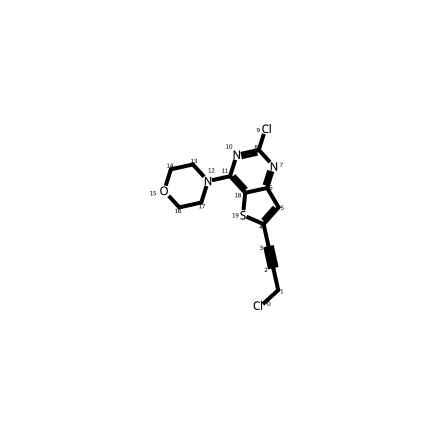 ClCC#Cc1cc2nc(Cl)nc(N3CCOCC3)c2s1